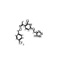 CC(=NOCc1ccc(C(F)(F)F)cc1)c1ccc(OCc2nnn[nH]2)nc1Cl